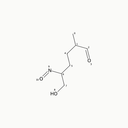 CC(C=O)CCC(CO)N=O